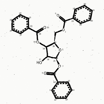 O=C(OC[C@H]1O[C@@H](OC(=O)c2ccccc2)C(O)C1OC(=O)c1ccccc1)c1ccccc1